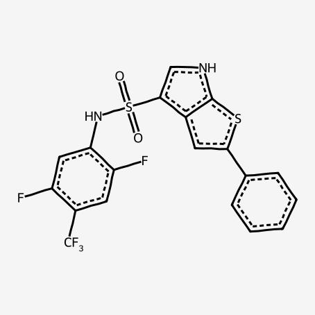 O=S(=O)(Nc1cc(F)c(C(F)(F)F)cc1F)c1c[nH]c2sc(-c3ccccc3)cc12